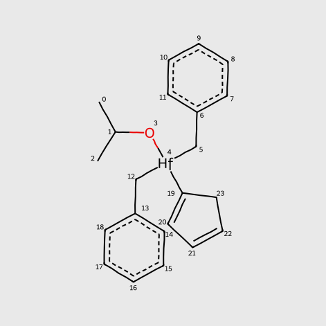 CC(C)[O][Hf]([CH2]c1ccccc1)([CH2]c1ccccc1)[C]1=CC=CC1